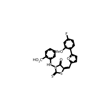 COc1cc(F)ccc1-c1ccc(C=C2SC(=S)N(Nc3ccccc3C(=O)O)C2=O)o1